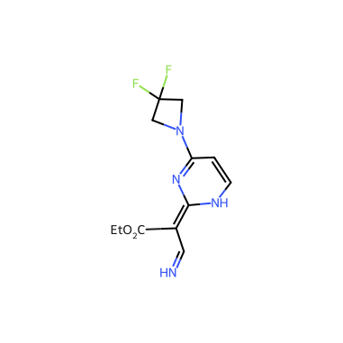 CCOC(=O)/C(C=N)=C1\N=C(N2CC(F)(F)C2)C=CN1